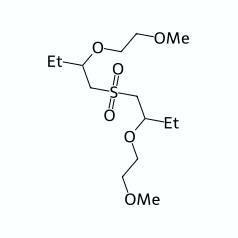 CCC(CS(=O)(=O)CC(CC)OCCOC)OCCOC